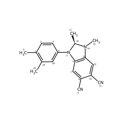 Cc1ccc(N2c3cc(C#N)c(C#N)cc3N(C)[C@@H]2C)cc1C